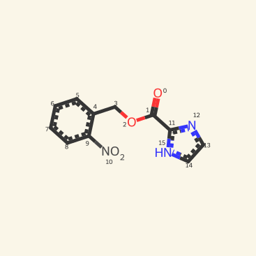 O=C(OCc1ccccc1[N+](=O)[O-])c1ncc[nH]1